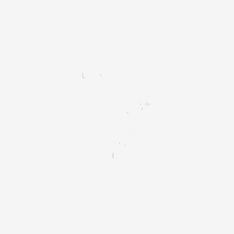 CCCCC(C)(C)C(=O)CC=C1CC[C@H](O)[C@@H]1CCCCCCC(=O)OCC